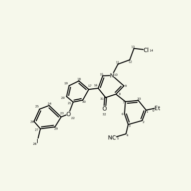 CCc1cc(CC#N)cc(-c2cn(CCCCl)cc(-c3cccc(Oc4cccc(I)c4)c3)c2=O)c1